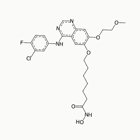 COCCOc1cc2ncnc(Nc3ccc(F)c(Cl)c3)c2cc1OCCCCCCC(=O)NO